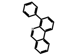 [c]1ccc(-c2cccc3c2ncc2ccccc23)cc1